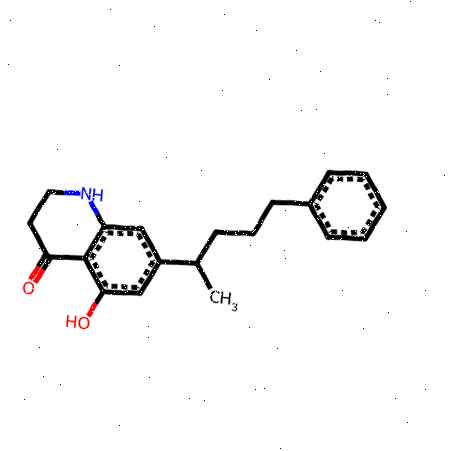 CC(CCCc1ccccc1)c1cc(O)c2c(c1)NCCC2=O